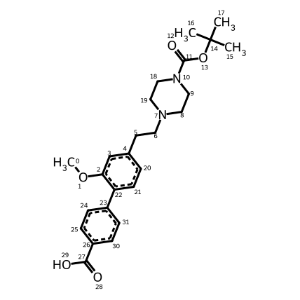 COc1cc(CCN2CCN(C(=O)OC(C)(C)C)CC2)ccc1-c1ccc(C(=O)O)cc1